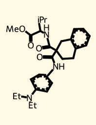 CCN(CC)c1ccc(NC(=O)C2(C(=O)NC(C(=O)OC)C(C)C)CCc3ccccc3C2)cc1